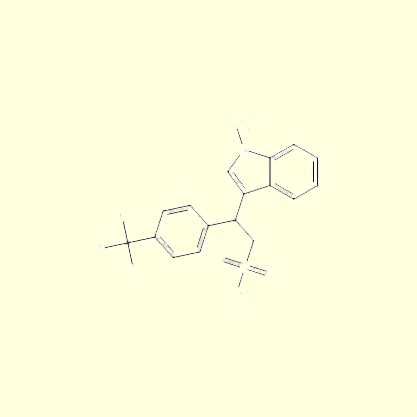 Cn1cc(C(CS(=O)(=O)O)c2ccc(C(F)(F)F)cc2)c2ccccc21